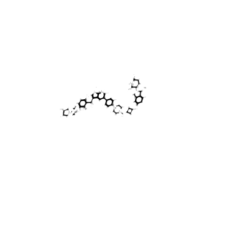 O=C1CCC(N2Cc3cc(O[C@H]4C[C@H](CN5CCN(c6ccc(-c7cnc8[nH]cc(C(=O)c9c(F)ccc(NS(=O)(=O)N%10CC[C@@H](F)C%10)c9F)c8c7)cc6)CC5)C4)ccc3C2=O)C(=O)N1